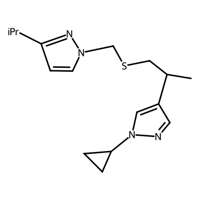 CC(C)c1ccn(CSCC(C)c2cnn(C3CC3)c2)n1